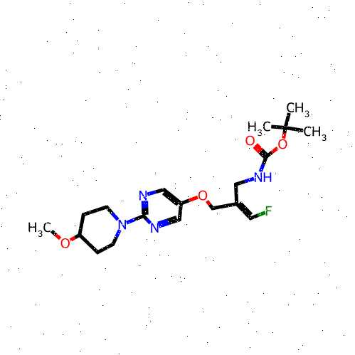 COC1CCN(c2ncc(OC/C(=C/F)CNC(=O)OC(C)(C)C)cn2)CC1